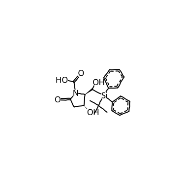 CC(C)(C)[Si](c1ccccc1)(c1ccccc1)C(O)[C@H]1[C@H](O)CC(=O)N1C(=O)O